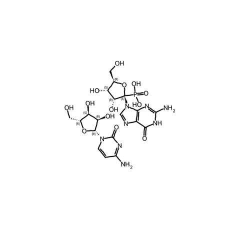 Nc1ccn([C@@H]2O[C@H](CO)[C@@H](O)[C@H]2O)c(=O)n1.Nc1nc2c(ncn2[C@]2(P(=O)(O)O)O[C@H](CO)[C@@H](O)[C@H]2O)c(=O)[nH]1